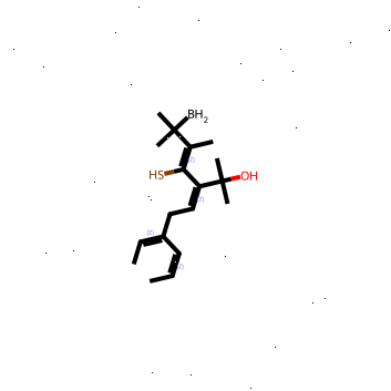 BC(C)(C)/C(C)=C(S)/C(=C\CC(/C=C\C)=C/C)C(C)(C)O